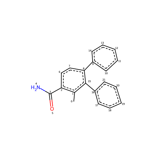 Cc1c(C(N)=O)ccc(-c2ccccc2)c1-c1ccccc1